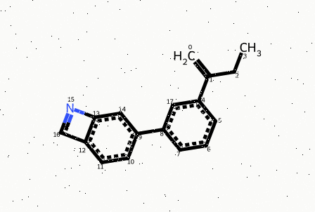 C=C(CC)c1cccc(-c2ccc3c(c2)N=C3)c1